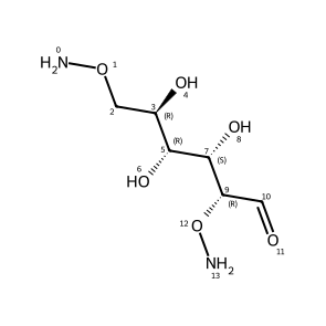 NOC[C@@H](O)[C@@H](O)[C@H](O)[C@H](C=O)ON